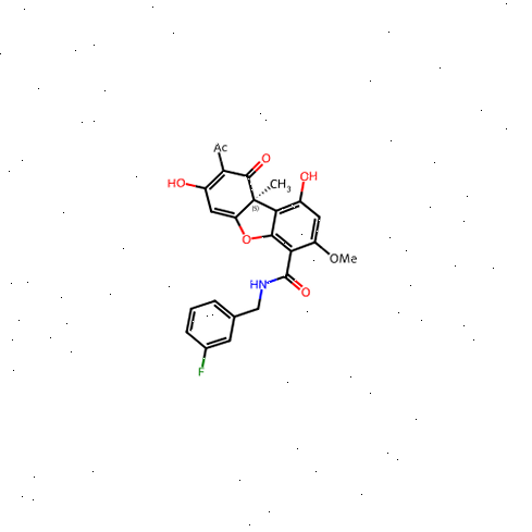 COc1cc(O)c2c(c1C(=O)NCc1cccc(F)c1)OC1=CC(O)=C(C(C)=O)C(=O)[C@]12C